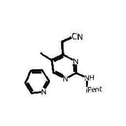 CCCC(C)Nc1ncc(C)c(CC#N)n1.c1ccncc1